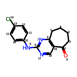 O=C1CCCCc2nc(Nc3ccc(Cl)cc3)ncc21